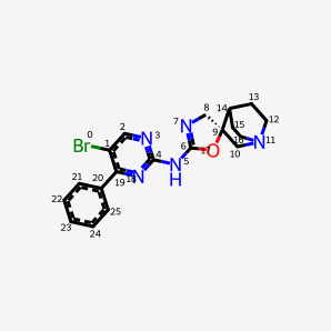 Brc1cnc(NC2=NC[C@]3(CN4CCC3CC4)O2)nc1-c1ccccc1